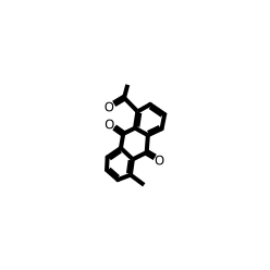 CC(=O)c1cccc2c1C(=O)c1cccc(C)c1C2=O